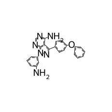 Nc1cccc(-n2nc(-c3ccc(Oc4ccccc4)cc3)c3c(N)ncnc32)c1